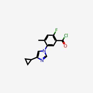 Cc1cc(F)c(C(=O)Cl)cc1-n1cnc(C2CC2)c1